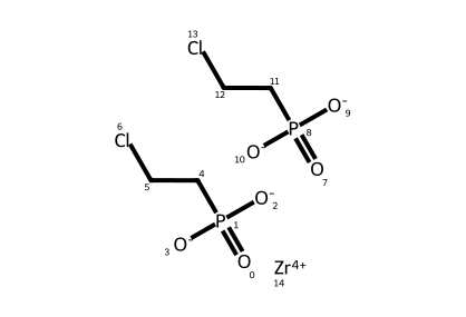 O=P([O-])([O-])CCCl.O=P([O-])([O-])CCCl.[Zr+4]